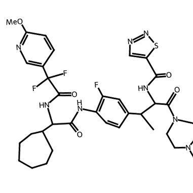 COc1ccc(C(F)(F)C(=O)NC(C(=O)Nc2ccc(C(C)C(NC(=O)c3cnns3)C(=O)N3CCN(C)CC3)cc2F)C2CCCCCC2)cn1